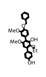 CCOc1c(-c2ccc(O)cc2)cc(OC)c(-c2ccc(OCc3ccccc3)c(OC)c2)c1O